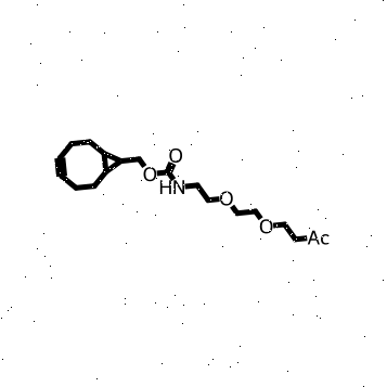 CC(=O)CCOCCOCCNC(=O)OCC1C2CCC#CCCC21